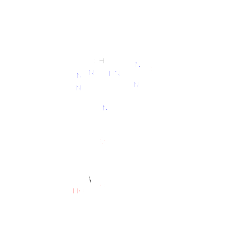 Cn1nnc(-c2ccc(O[C@H]3CCC[C@H](C(=O)O)C3)cn2)c1CNc1noc(CCC2CCC2)n1